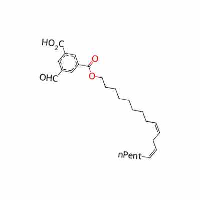 CCCCC/C=C\C/C=C\CCCCCCCCOC(=O)c1cc(C=O)cc(C(=O)O)c1